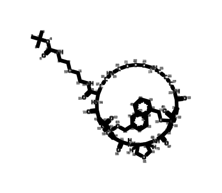 CC(C)(C)OC(=O)NCCOCCNC(=O)C1CCNCCCCNCCCNC(=O)c2ccc(n(OCc3ccccc3)c2=O)C(=O)N[C@@H]2COC[C@@H]2NC(=O)c2ccc(c(=O)n2OCc2ccccc2)C(=O)N1